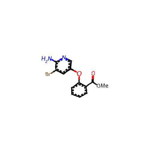 COC(=O)c1ccccc1Oc1cnc(N)c(Br)c1